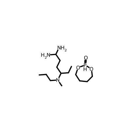 CCCN(C)C(CC)CCC(N)N.O=[PH]1OCCCCO1